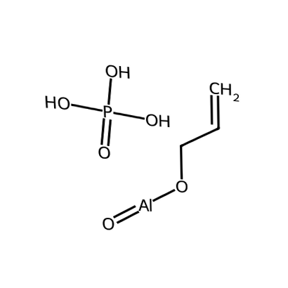 C=CC[O][Al]=[O].O=P(O)(O)O